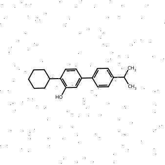 CC(C)c1ccc(-c2ccc(C3CCCCC3)c(O)c2)cc1